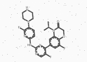 CC(C)N1C(=O)COc2c(F)cc(-c3nc(Nc4ccc(N5CCNCC5)c(F)n4)ncc3F)cc21